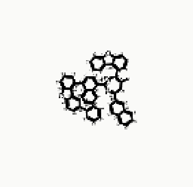 CC1=C(c2cccc3oc4ccccc4c23)NC(c2ccc(-c3cccc4oc5ccc(-c6ccccc6)cc5c34)c3ccccc23)N=C(c2ccc3ccccc3c2)C1